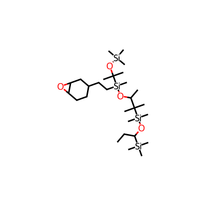 CCC(O[Si](C)(C)C(C)(C)C(C)O[Si](C)(CCC1CCC2OC2C1)C(C)(C)O[Si](C)(C)C)[Si](C)(C)C